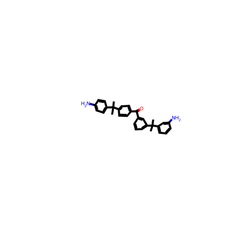 CC(C)(c1ccc(N)cc1)c1ccc(C(=O)c2cccc(C(C)(C)c3cccc(N)c3)c2)cc1